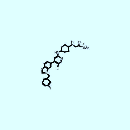 COC(C)CNC1CCC(Nc2cc(-c3ccc4ncn(Cc5cccc(F)c5)c4c3)c(Cl)cn2)CC1